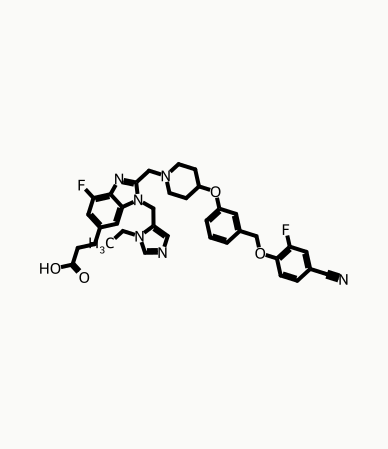 CCn1cncc1Cn1c(CN2CCC(Oc3cccc(COc4ccc(C#N)cc4F)c3)CC2)nc2c(F)cc(CCC(=O)O)cc21